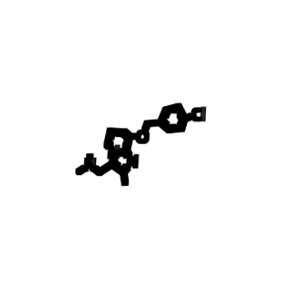 Cc1nc2c(OCc3ccc(Cl)cc3)cccn2c1CN(C)C